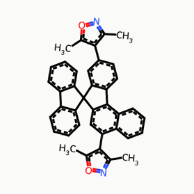 Cc1noc(C)c1-c1ccc2c(c1)C1(c3ccccc3-c3ccccc31)c1cc(-c3c(C)noc3C)c3ccccc3c1-2